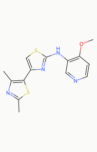 COc1ccncc1Nc1nc(-c2sc(C)nc2C)cs1